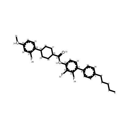 CCCCCc1ccc(-c2ccc(OC(=O)C3CCC(c4ccc(OC)cc4F)CC3)c(F)c2F)cc1